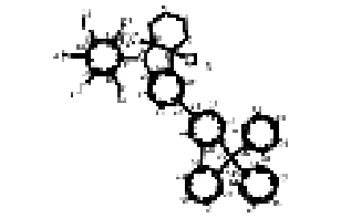 CC12CCCCC1(C)N(c1c(F)c(F)c(F)c(F)c1F)c1ccc(-c3ccc4c(c3)-c3ccccc3C4(c3ccccc3)c3ccccc3)cc12